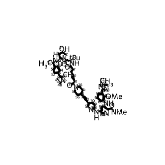 CNC(=O)c1nnc(Nc2ccc(C#CC3CCN(C(=O)CCCCCC(=O)N[C@H](C(=O)N4C[C@H](O)C[C@H]4C(=O)N[C@@H](C)c4ccc(-c5scnc5C)cc4)C(C)(C)C)CC3)cn2)cc1Nc1cccc(-c2ncn(C)n2)c1OC